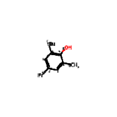 Cc1cc(C(C)C)cc(C(C)(C)C)c1O